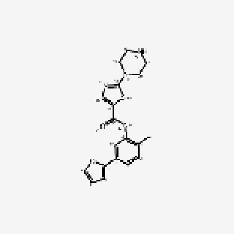 Cc1ccc(-c2ccco2)cc1NC(=O)c1cnc(N2CCNCC2)s1